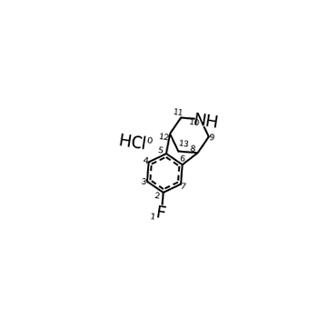 Cl.Fc1ccc2c(c1)C1CNCC2C1